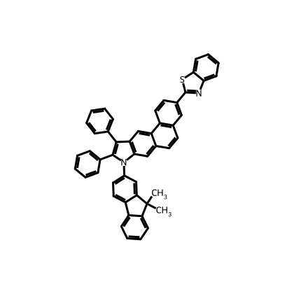 CC1(C)c2ccccc2-c2ccc(-n3c(-c4ccccc4)c(-c4ccccc4)c4cc5c(ccc6cc(-c7nc8ccccc8s7)ccc65)cc43)cc21